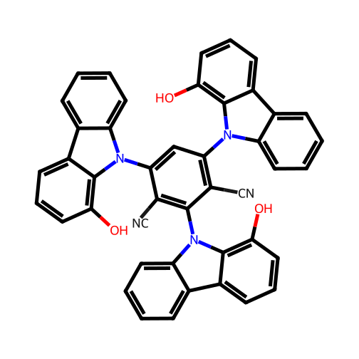 N#Cc1c(-n2c3ccccc3c3cccc(O)c32)cc(-n2c3ccccc3c3cccc(O)c32)c(C#N)c1-n1c2ccccc2c2cccc(O)c21